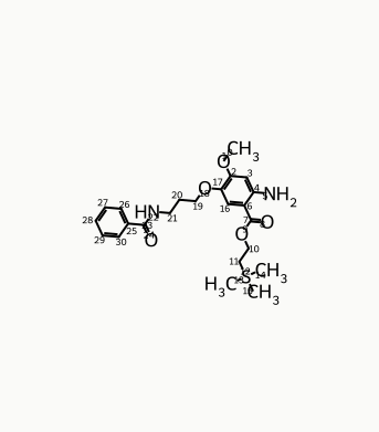 COc1cc(N)c(C(=O)OCCS(C)(C)C)cc1OCCCNC(=O)c1ccccc1